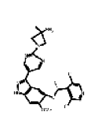 COc1cc2[nH]nc(-c3cnc(N4CC(C)(N)C4)nc3)c2cc1O[C@H](C)c1c(Cl)cncc1Cl